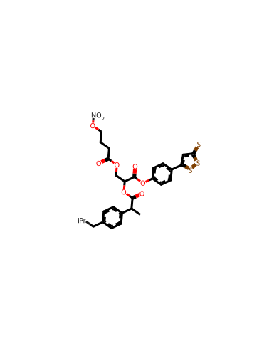 CC(C)Cc1ccc(C(C)C(=O)OC(COC(=O)CCCO[N+](=O)[O-])C(=O)Oc2ccc(-c3cc(=S)ss3)cc2)cc1